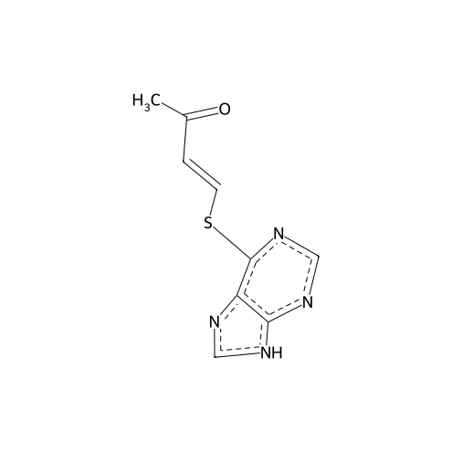 CC(=O)/C=C/Sc1ncnc2[nH]cnc12